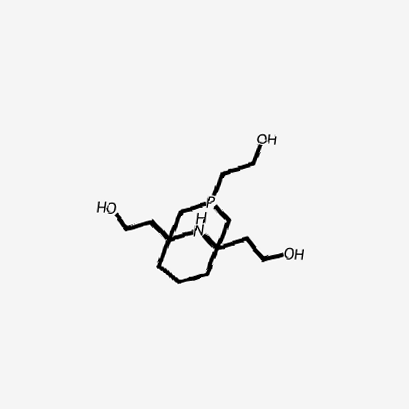 OCCP1CC2(CCO)CCCC(CCO)(C1)N2